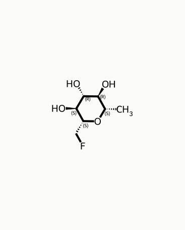 C[C@@H]1O[C@H](CF)[C@@H](O)[C@H](O)[C@H]1O